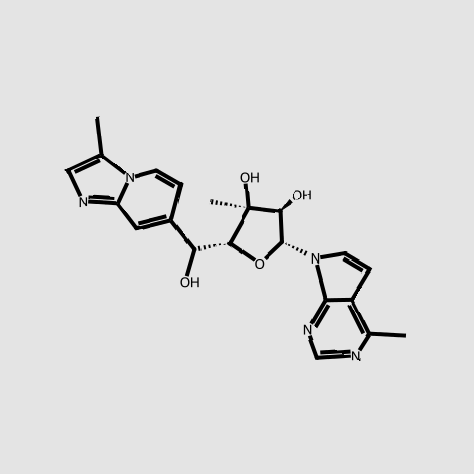 Cc1ncnc2c1ccn2[C@@H]1O[C@H](C(O)c2ccn3c(C)cnc3c2)[C@@](C)(O)[C@H]1O